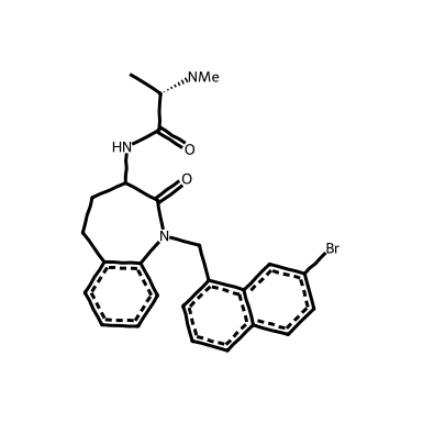 CN[C@@H](C)C(=O)NC1CCc2ccccc2N(Cc2cccc3ccc(Br)cc23)C1=O